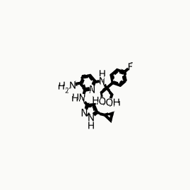 Nc1ccc(NC(CO)(CO)c2ccc(F)cc2)nc1Nc1cc(C2CC2)[nH]n1